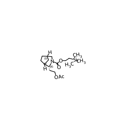 CC(=O)OCC[C@@H]1[C@@H]2CC[C@@H](C2)CN1C(=O)OCC[Si](C)(C)C